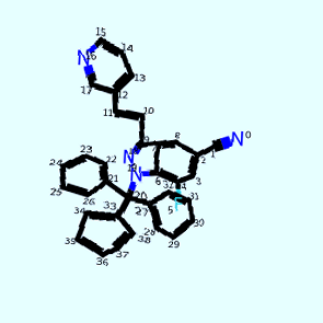 N#Cc1cc(F)c2c(c1)c(C=Cc1cccnc1)nn2C(c1ccccc1)(c1ccccc1)c1ccccc1